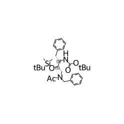 CC(=O)N(Cc1ccccc1)C[C@H](O[Si](C)(C)C(C)(C)C)[C@H](Cc1ccccc1)NC(=O)OC(C)(C)C